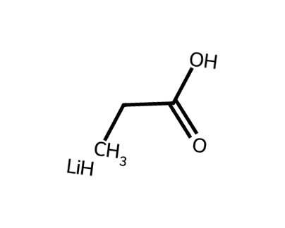 CCC(=O)O.[LiH]